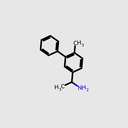 Cc1ccc(C(C)N)cc1-c1ccccc1